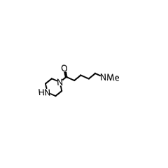 CNCCCCC(=O)N1CCNCC1